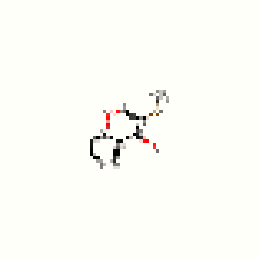 O=c1c(SC(F)(F)F)coc2ccccc12